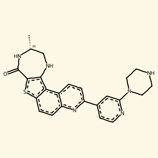 C[C@@H]1CNc2c(sc3ccc4nc(-c5ccnc(N6CCNCC6)c5)ccc4c23)C(=O)N1